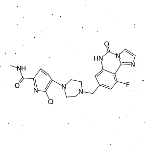 CNC(=O)c1ccc(N2CCN(Cc3cc(F)c4c(c3)[nH]c(=O)n3ccnc43)CC2)c(Cl)n1